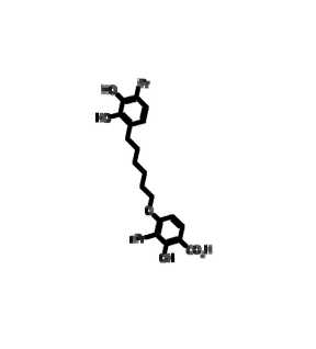 CCCc1c(OCCCCCCc2ccc(C(C)C)c(O)c2O)ccc(C(=O)O)c1O